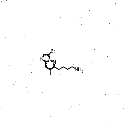 Cc1cc2ncc(Br)n2nc1CCCCN